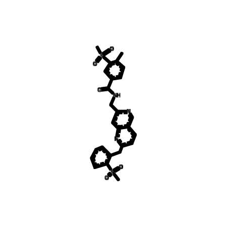 Cc1ccc(C(=O)NCc2cc3nc(Cc4ccccc4S(C)(=O)=O)ccc3cn2)cc1S(C)(=O)=O